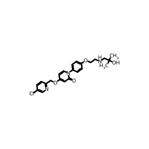 CC(C)(O)CNCCOc1ccc(-n2ccc(OCc3ccc(Cl)cn3)cc2=O)cc1